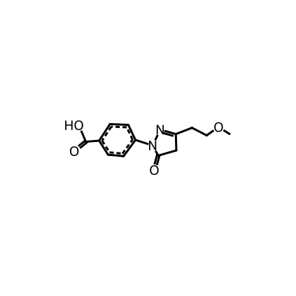 COCCC1=NN(c2ccc(C(=O)O)cc2)C(=O)C1